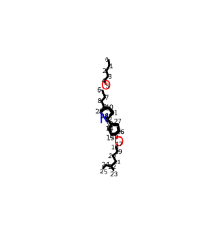 CCCCCOCCCc1ccc(-c2ccc(OCCCCC(C)CC)cc2)nc1